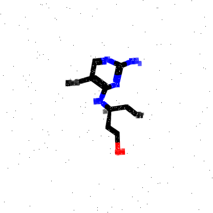 COc1cnc(N)nc1N[C@H](CCO)CC(C)C